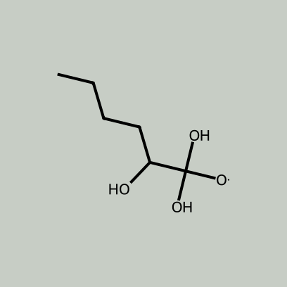 CCCCC(O)C([O])(O)O